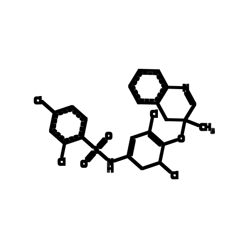 CC1(OC2=C(Cl)C=C(NS(=O)(=O)c3ccc(Cl)cc3Cl)CC2Cl)C=Nc2ccccc2C1